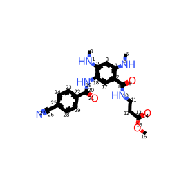 CNc1cc(NC)c(C(=O)NCCC(=O)OC)cc1NC(=O)c1ccc(C#N)cc1